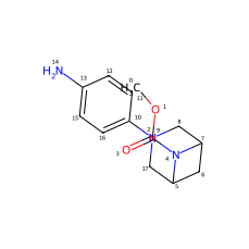 COC(=O)N1C2CC1CN(c1ccc(N)cc1)C2